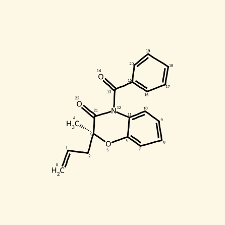 C=CC[C@]1(C)Oc2ccccc2N(C(=O)c2ccccc2)C1=O